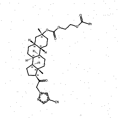 CC(C)C(=O)OCCOC(=O)O[C@]1(C)CC[C@H]2[C@H](CC[C@H]3[C@@H]2CC[C@]2(C)[C@@H](C(=O)Cn4cc(C#N)cn4)CC[C@@H]32)C1